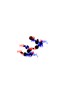 CCc1c(CN2CCN(CCO)CC2)cccc1Nc1c(C(N)=O)cnc2[nH]c(-c3ccc(OCCO)cc3)nc12.CCc1c(CN[C@H](CO)Cc2ccccc2)cccc1Nc1c(C(N)=O)cnc2[nH]c(-c3ccc(OCCO)cc3)nc12